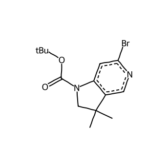 CC(C)(C)OC(=O)N1CC(C)(C)c2cnc(Br)cc21